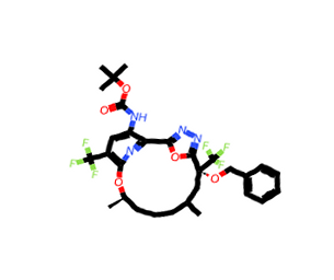 CC1CCC[C@@H](C)Oc2nc(c(NC(=O)OC(C)(C)C)cc2C(F)(F)F)-c2nnc(o2)[C@@](OCc2ccccc2)(C(F)(F)F)C1